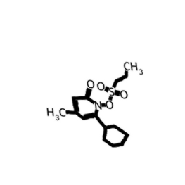 CCCS(=O)(=O)On1c(C2CCCCC2)cc(C)cc1=O